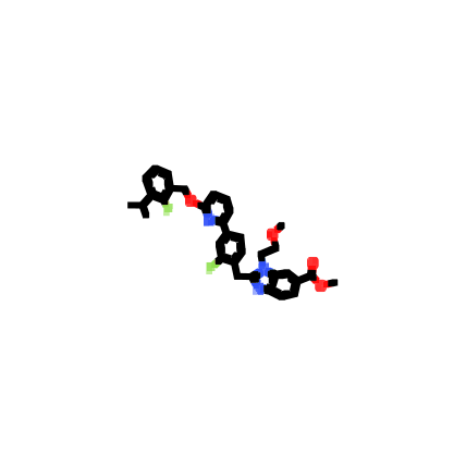 COCCn1c(Cc2ccc(-c3cccc(OCc4cccc(C(C)C)c4F)n3)cc2F)nc2ccc(C(=O)OC)cc21